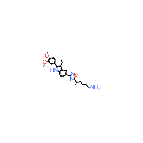 CCc1c(-c2ccc(OC)c(OC)c2)[nH]c2ccc(-c3noc([C@H](C)CCCCN)n3)cc12